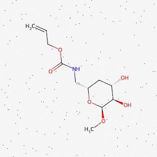 C=CCOC(=O)NC[C@@H]1C[C@H](O)[C@@H](O)[C@@H](OC)O1